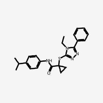 CCn1c(SC2(C(=O)Nc3ccc(C(C)C)cc3)CC2)nnc1-c1ccccc1